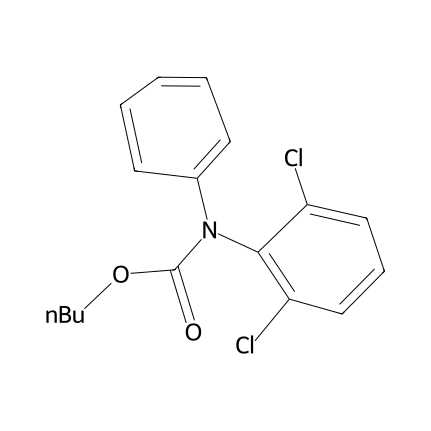 [CH2]CCCOC(=O)N(c1ccccc1)c1c(Cl)cccc1Cl